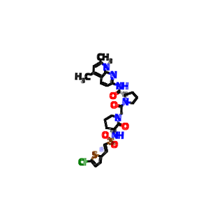 Cc1cc(C)c2ccc(NC(=O)[C@@H]3CCCN3C(=O)CN3CCC[C@H](NS(=O)(=O)/C=C/c4ccc(Cl)s4)C3=O)nc2n1